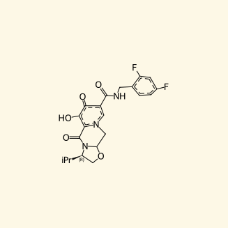 CC(C)[C@@H]1COC2Cn3cc(C(=O)NCc4ccc(F)cc4F)c(=O)c(O)c3C(=O)N21